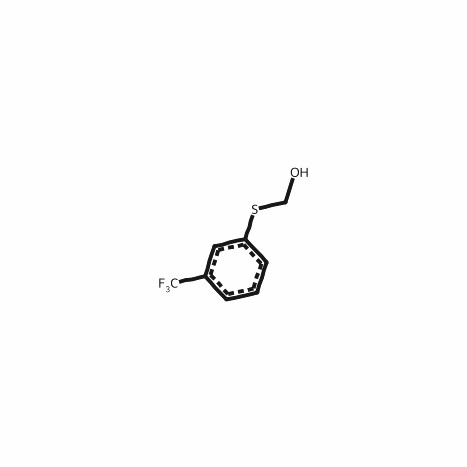 OCSc1cccc(C(F)(F)F)c1